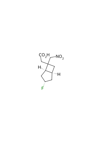 O=C(O)CC1(C[N+](=O)[O-])C[C@H]2C[C@H](F)C[C@H]21